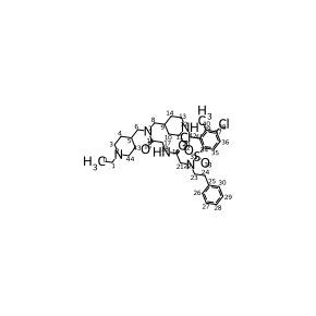 CCN1CCC(CN(CC2CCNCC2)C(=O)CNC(=O)CN(CCc2ccccc2)S(=O)(=O)c2ccc(Cl)c(C)c2Cl)CC1